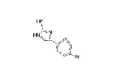 Brc1ccc(-c2c[nH]c(PI)n2)cc1